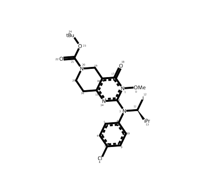 COn1c(N(c2ccc(Cl)cc2)[C@@H](I)C(C)C)nc2c(c1=O)CN(C(=O)OC(C)(C)C)CC2